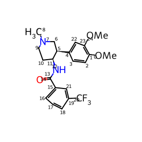 COc1ccc([C@@H]2CN(C)CC[C@@H]2NC(=O)c2cccc(C(F)(F)F)c2)cc1OC